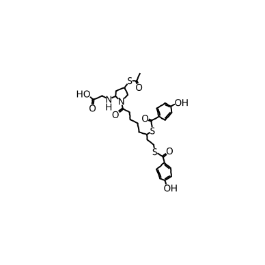 CC(=O)SC1CC(NCC(=O)O)N(C(=O)CCCCC(CCSC(=O)c2ccc(O)cc2)SC(=O)c2ccc(O)cc2)C1